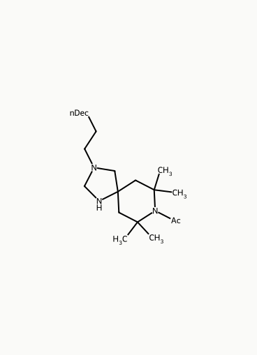 CCCCCCCCCCCCN1CNC2(C1)CC(C)(C)N(C(C)=O)C(C)(C)C2